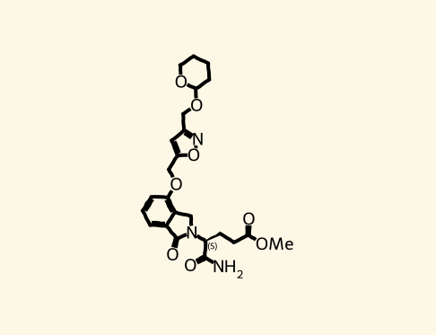 COC(=O)CC[C@@H](C(N)=O)N1Cc2c(OCc3cc(COC4CCCCO4)no3)cccc2C1=O